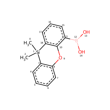 C[Si]1(C)c2ccccc2Oc2c(B(O)O)cccc21